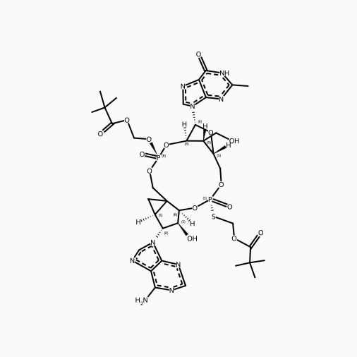 Cc1nc2c(ncn2[C@@H]2O[C@@H]3CO[P@](=O)(SCOC(=O)C(C)(C)C)O[C@H]4[C@@H](O)[C@H](n5cnc6c(N)ncnc65)[C@H]5CC54CO[P@@](=O)(OCOC(=O)C(C)(C)C)O[C@@H]2[C@@H]3CO)c(=O)[nH]1